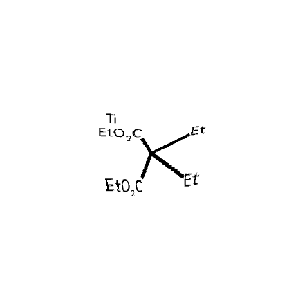 CCOC(=O)C(CC)(CC)C(=O)OCC.[Ti]